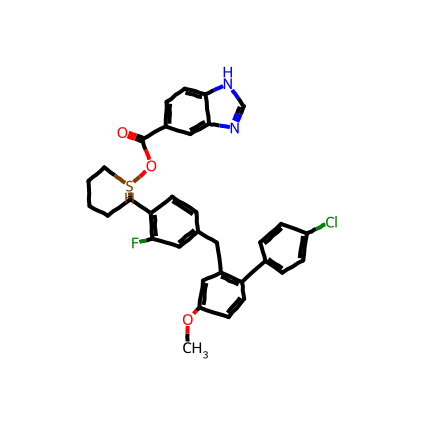 COc1ccc(-c2ccc(Cl)cc2)c(Cc2ccc(C3CCCC[SH]3OC(=O)c3ccc4[nH]cnc4c3)c(F)c2)c1